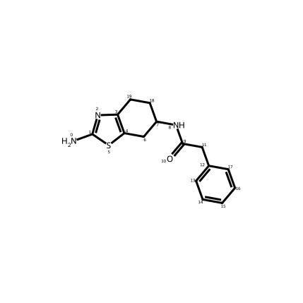 Nc1nc2c(s1)CC(NC(=O)Cc1ccccc1)CC2